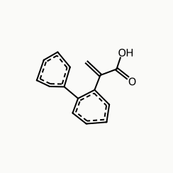 C=C(C(=O)O)c1ccccc1-c1ccccc1